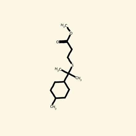 COC(=O)CCSC(C)(C)C1CCC(C)CC1